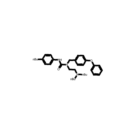 CCCCc1ccc(NC(=O)N(CCN(CCCC)CCCC)Cc2ccc(Oc3ccccc3)cc2)cc1